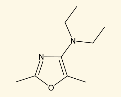 CCN(CC)c1nc(C)oc1C